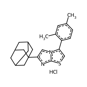 Cc1ccc(-c2csc3nc(C45CC6CC(CC(C6)C4)C5)cn23)c(C)c1.Cl